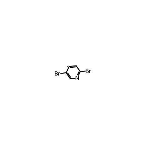 Brc1[c]cc(Br)nc1